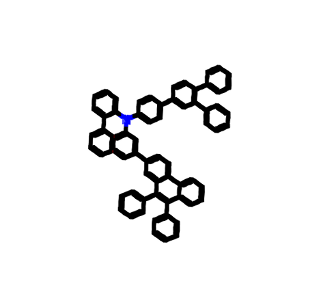 c1ccc(-c2ccc(-c3ccc(N(c4cccc(-c5ccc6c(c5)c(-c5ccccc5)c(-c5ccccc5)c5ccccc56)c4)c4ccccc4-c4ccccc4)cc3)cc2-c2ccccc2)cc1